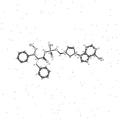 CCON(c1ccccc1)[C@@H](Cc1ccccc1)C(=O)OP(=O)(O)OC[C@H]1C=C[C@@H](n2cnc3c(N)ncnc32)C1